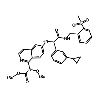 CC(C)(C)OC(=O)N(OC(C)(C)C)c1nccc2cc(NC(C(=O)NCc3ccccc3S(C)(=O)=O)c3cccc(C4CC4)c3)ccc12